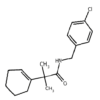 CC(C)(C(=O)NCc1ccc(Cl)cc1)C1=CCCCC1